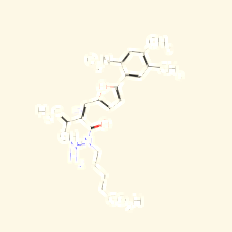 C=C(C)/C(=C/c1ccc(-c2cc(C)c(C)cc2[N+](=O)[O-])o1)C(=O)N(N)CCCCC(=O)O